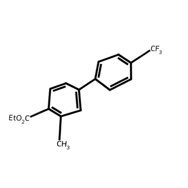 CCOC(=O)c1ccc(-c2ccc(C(F)(F)F)cc2)cc1C